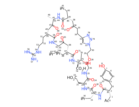 CC(=O)C[C@@H](Cc1ccc(O)cc1)C(=O)N[C@H](CC(C)C)C(=O)N[C@@H](CC(=O)O)C(=O)NCCOCCn1cc(CCC(=O)C[C@@H](CC(C)C)C(=O)N[C@@H](C)C(=O)C[C@@H](CCCNC(=N)N)C(=O)N[C@@H](CC(C)C)C(=O)C[C@@H](CC(C)C)C(=O)N[C@H](C(=O)O)C(C)O)nn1